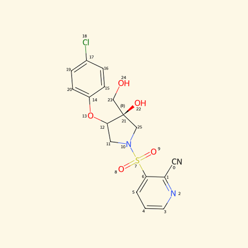 N#Cc1ncccc1S(=O)(=O)N1CC(Oc2ccc(Cl)cc2)[C@](O)(CO)C1